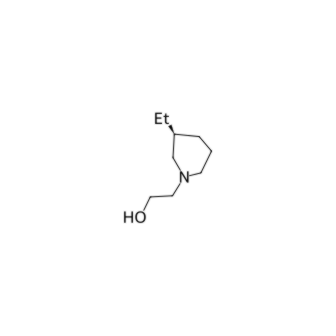 CC[C@H]1CCCN(CCO)C1